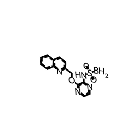 BS(=O)(=O)Nc1nccnc1OCc1ccc2ccccc2n1